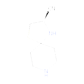 N#C[C@@H]1CSC2(CCNCC2)N1